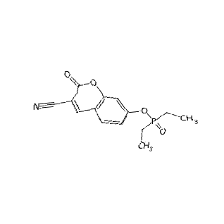 CCP(=O)(CC)Oc1ccc2cc(C#N)c(=O)oc2c1